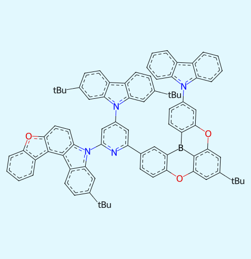 CC(C)(C)c1cc2c3c(c1)Oc1ccc(-c4cc(-n5c6cc(C(C)(C)C)ccc6c6ccc(C(C)(C)C)cc65)cc(-n5c6cc(C(C)(C)C)ccc6c6c7c(ccc65)oc5ccccc57)n4)cc1B3c1ccc(-n3c4ccccc4c4ccccc43)cc1O2